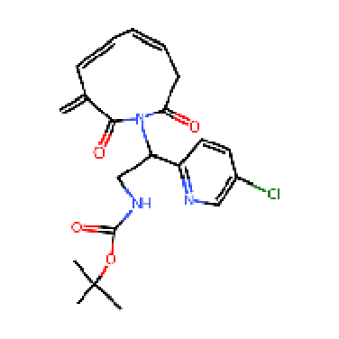 C=C1/C=C\C=C/CC(=O)N(C(CNC(=O)OC(C)(C)C)c2ccc(Cl)cn2)C1=O